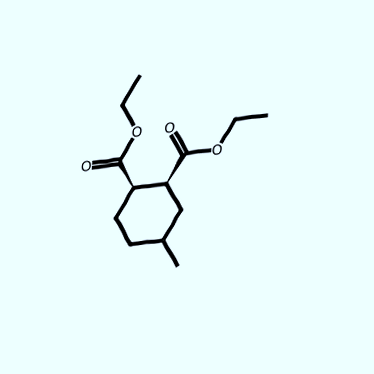 CCOC(=O)[C@H]1CC(C)CC[C@H]1C(=O)OCC